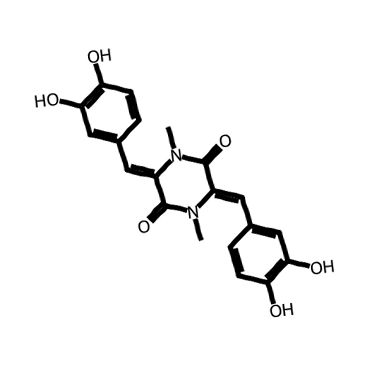 Cn1c(=O)c(=Cc2ccc(O)c(O)c2)n(C)c(=O)c1=Cc1ccc(O)c(O)c1